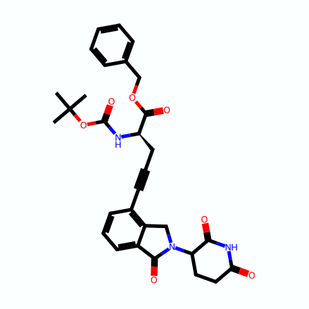 CC(C)(C)OC(=O)N[C@H](CC#Cc1cccc2c1CN(C1CCC(=O)NC1=O)C2=O)C(=O)OCc1ccccc1